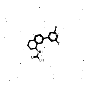 O=C(O)NC1CCCc2ccc(-c3cc(F)cc(F)c3)cc21